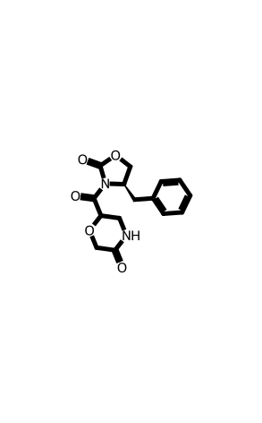 O=C1COC(C(=O)N2C(=O)OC[C@H]2Cc2ccccc2)CN1